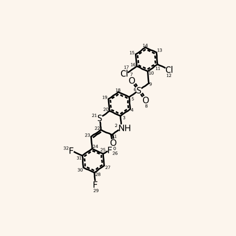 O=C1Nc2cc(S(=O)(=O)Cc3c(Cl)cccc3Cl)ccc2S/C1=C/c1c(F)cc(F)cc1F